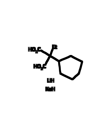 CCC(C(=O)O)(C(=O)O)C1CCCCC1.[LiH].[NaH]